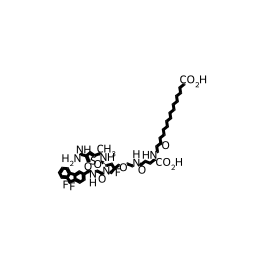 C[C@@H](NC(=O)[C@@H]1C[C@](F)(COCCNC(=O)CC[C@H](NCCC(=O)CCCCCCCCCCCCCCC(=O)O)C(=O)O)CN1C(=O)CNC(=O)c1ccc2c(c1)-c1ccccc1C2(F)F)c1cc(C(=N)N)cs1